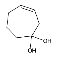 OC1(O)CC=CCCC1